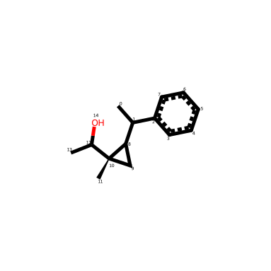 CC(c1ccccc1)C1C[C@]1(C)C(C)O